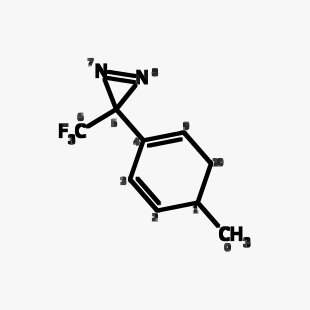 CC1C=CC(C2(C(F)(F)F)N=N2)=CC1